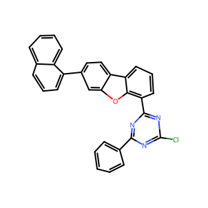 Clc1nc(-c2ccccc2)nc(-c2cccc3c2oc2cc(-c4cccc5ccccc45)ccc23)n1